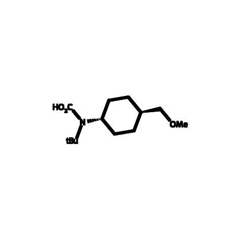 COC[C@H]1CC[C@H](N(C(=O)O)C(C)(C)C)CC1